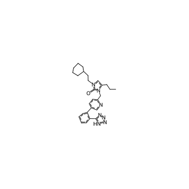 CCCc1cn(CCC2CCCCC2)c(=O)n1Cc1ccc(-c2ccccc2-c2nnn[nH]2)cn1